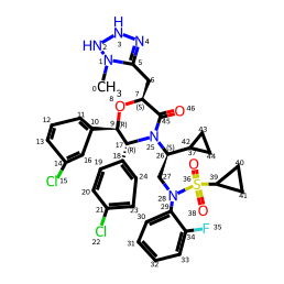 CN1NNN=C1C[C@@H]1O[C@H](c2cccc(Cl)c2)[C@@H](c2ccc(Cl)cc2)N([C@H](CN(c2ccccc2F)S(=O)(=O)C2CC2)C2CC2)C1=O